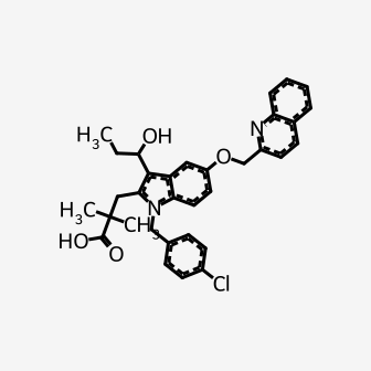 CCC(O)c1c(CC(C)(C)C(=O)O)n(Cc2ccc(Cl)cc2)c2ccc(OCc3ccc4ccccc4n3)cc12